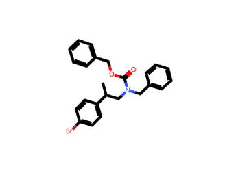 CC(CN(Cc1ccccc1)C(=O)OCc1ccccc1)c1ccc(Br)cc1